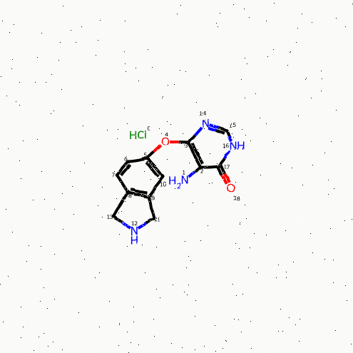 Cl.Nc1c(Oc2ccc3c(c2)CNC3)nc[nH]c1=O